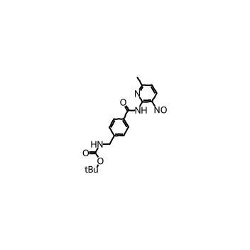 Cc1ccc(N=O)c(NC(=O)c2ccc(CNC(=O)OC(C)(C)C)cc2)n1